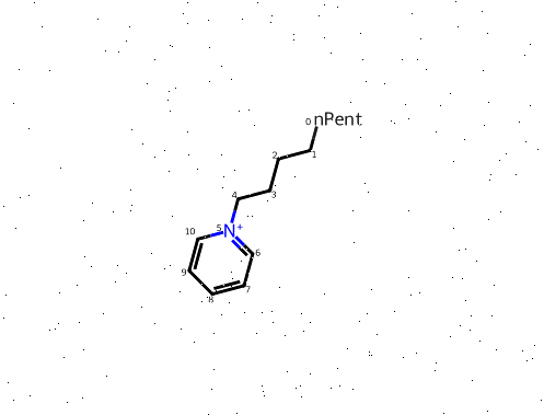 CCCCCCCCC[n+]1ccccc1